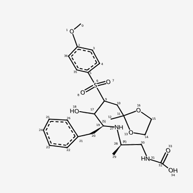 COc1ccc(S(=O)(=O)C(CC2(C)OCCO2)C(O)[C@H](Cc2ccccc2)N[C@H](C)CNC(=O)O)cc1